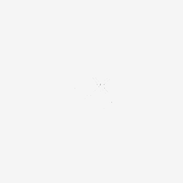 [AlH3].[KH].[O]=[Mn](=[O])(=[O])[OH]